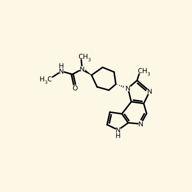 CNC(=O)N(C)[C@H]1CC[C@H](n2c(C)nc3cnc4[nH]ccc4c32)CC1